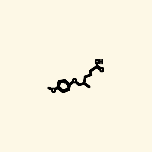 COc1ccc(OCC(C)CCCC(=O)O)cc1